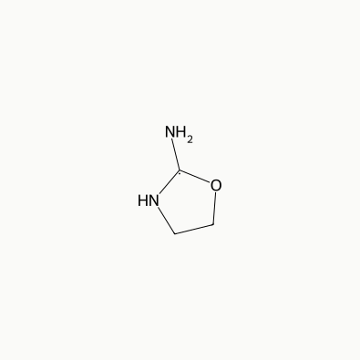 N[C]1NCCO1